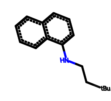 CC(C)(C)CCNc1cccc2ccccc12